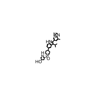 Cc1cc(-c2[nH]c3ccc(C4CCN(C(=O)[C@H]5C[C@@H](O)CN5)CC4)cc3c2C(C)C)cn2ncnc12